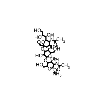 CC(=O)NC1C(ON)OC(CO)C(OC2OC(CO)C(O)C(OC3(C=O)CC(O)C(NC(C)=O)C([C@H](O)[C@H](O)CO)O3)C2O)C1O